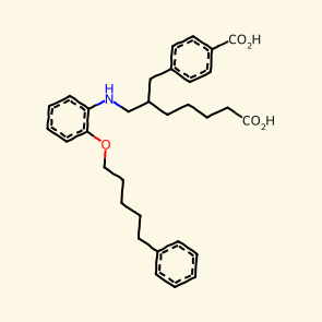 O=C(O)CCCCC(CNc1ccccc1OCCCCCc1ccccc1)Cc1ccc(C(=O)O)cc1